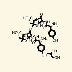 CC(O)CO.CC1(C)S[C@@H]2[C@H](NC(=O)[C@H](N)c3ccc(O)cc3)C(=O)N2[C@H]1C(=O)O.CC1(C)S[C@@H]2[C@H](NC(=O)[C@H](N)c3ccc(O)cc3)C(=O)N2[C@H]1C(=O)O